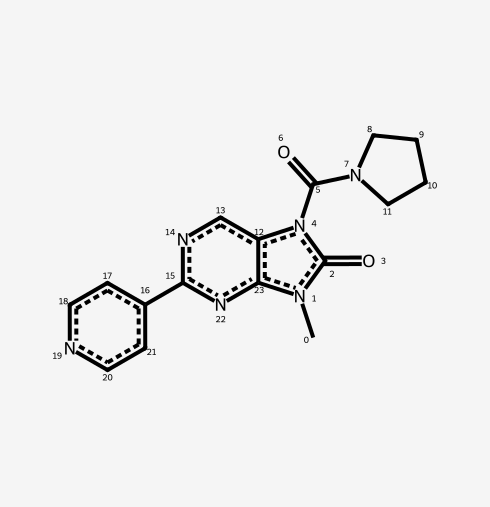 Cn1c(=O)n(C(=O)N2CCCC2)c2cnc(-c3ccncc3)nc21